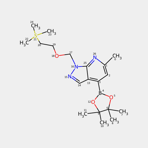 Cc1cc(B2OC(C)(C)C(C)(C)O2)c2cnn(COCCS(C)(C)C)c2n1